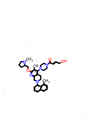 Cc1cccc2cccc(N3CCc4c(nc(OCC5CCCN5C)c(C#N)c4N4CCN(C(=O)C=CCO)CC4)C3)c12